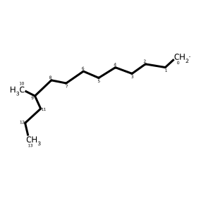 [CH2]CCCCCCCCC(C)CCC